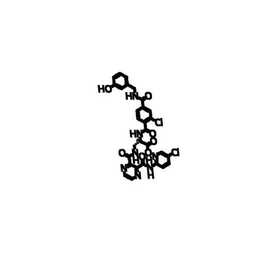 O=C(NCc1cccc(O)c1)c1ccc(C(=O)N[C@@H](CNC(=O)c2nccnc2C(=O)Nc2ccc(Cl)cn2)C(=O)O)c(Cl)c1